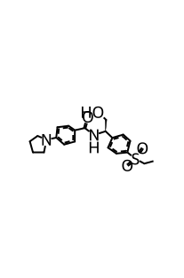 CCS(=O)(=O)c1ccc([C@H](CO)NC(=O)c2ccc(N3CCCC3)cc2)cc1